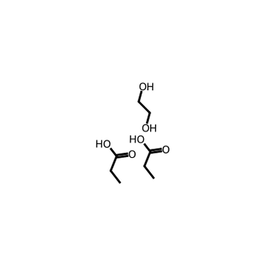 CCC(=O)O.CCC(=O)O.OCCO